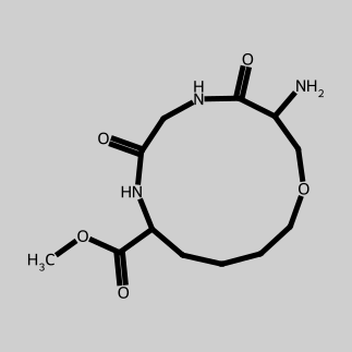 COC(=O)C1CCCCOCC(N)C(=O)NCC(=O)N1